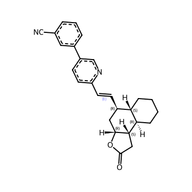 N#Cc1cccc(-c2ccc(/C=C/[C@@H]3C[C@H]4OC(=O)C[C@H]4[C@@H]4CCCC[C@H]43)nc2)c1